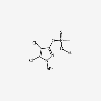 CCCn1nc(OP(C)(=S)OCC)c(Cl)c1Cl